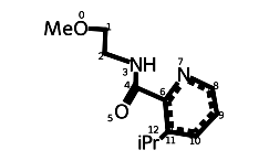 COCCNC(=O)c1ncccc1C(C)C